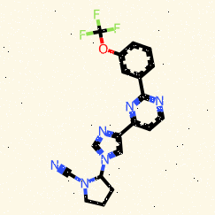 N#CN1CCCC1n1cnc(-c2ccnc(-c3cccc(OC(F)(F)F)c3)n2)c1